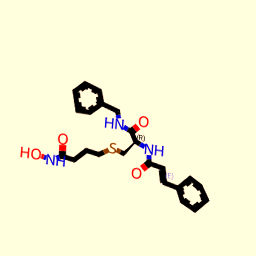 O=C(/C=C/c1ccccc1)N[C@@H](CSCCCC(=O)NO)C(=O)NCc1ccccc1